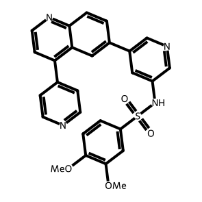 COc1ccc(S(=O)(=O)Nc2cncc(-c3ccc4nccc(-c5ccncc5)c4c3)c2)cc1OC